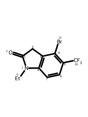 CCN1C(=O)Cc2c1ccc(C(F)(F)F)c2Br